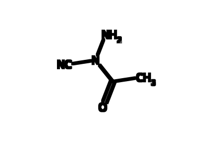 CC(=O)N(N)C#N